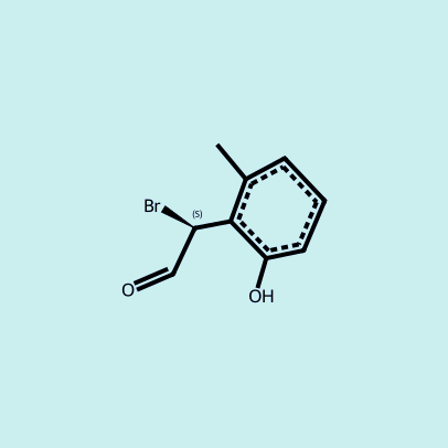 Cc1cccc(O)c1[C@H](Br)C=O